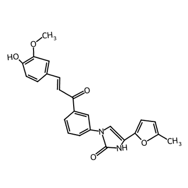 COc1cc(/C=C/C(=O)c2cccc(-n3cc(-c4ccc(C)o4)[nH]c3=O)c2)ccc1O